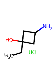 CCC1(O)CC(N)C1.Cl